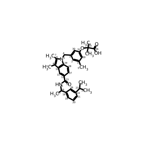 Cc1cc(Cn2c(C)c(C)c3cc(C(=O)NC(C)c4cccc(C(C)C)c4)ccc32)cc(OC(C)(C)C(=O)O)c1